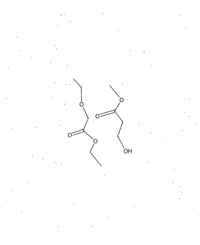 CCOCC(=O)OCC.COC(=O)CCO